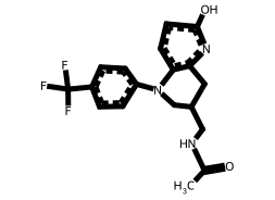 CC(=O)NCC1Cc2nc(O)ccc2N(c2ccc(C(F)(F)F)cc2)C1